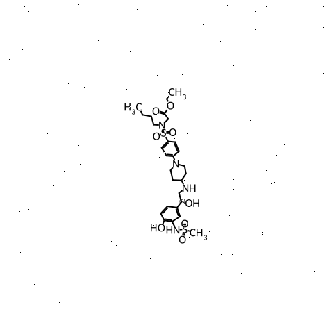 CCCCN(CC(=O)OCC)S(=O)(=O)c1ccc(N2CCC(NC[C@H](O)c3ccc(O)c(NS(C)(=O)=O)c3)CC2)cc1